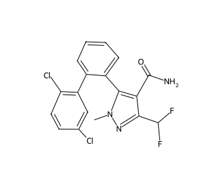 Cn1nc(C(F)F)c(C(N)=O)c1-c1ccccc1-c1cc(Cl)ccc1Cl